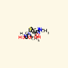 CC[C@@H]1CN(Cc2cc([C@@H](CC(=O)O)c3cnc4c(nnn4C)c3C)cc3ccsc23)[C@@H](C)c2nc(O)ccc2O1